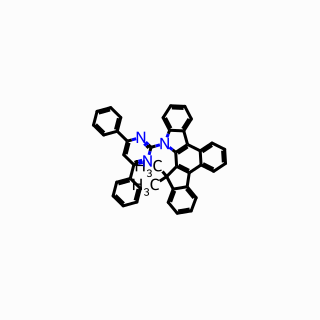 CC1(C)c2ccccc2-c2c1c1c(c3ccccc23)c2ccccc2n1-c1nc(-c2ccccc2)cc(-c2ccccc2)n1